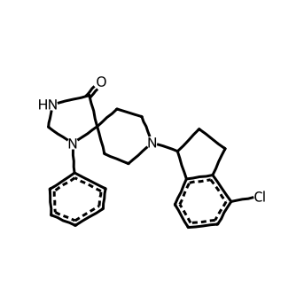 O=C1NCN(c2ccccc2)C12CCN(C1CCc3c(Cl)cccc31)CC2